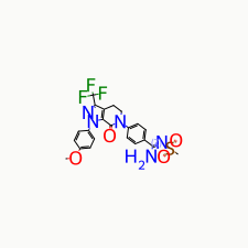 COc1ccc(-n2nc(C(F)(F)F)c3c2C(=O)N(c2ccc(/C(N)=N/S(C)(=O)=O)cc2)CC3)cc1